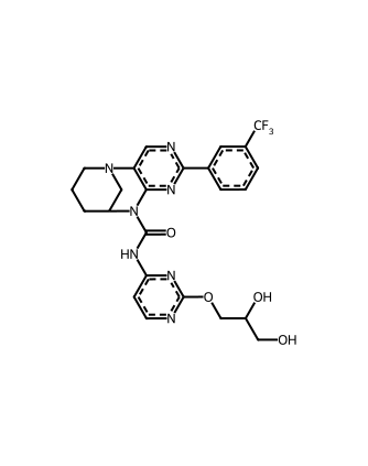 O=C(Nc1ccnc(OCC(O)CO)n1)N1c2nc(-c3cccc(C(F)(F)F)c3)ncc2N2CCCC1C2